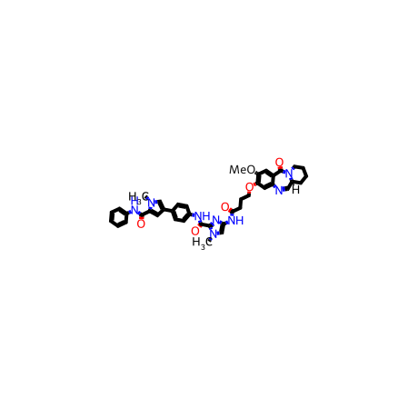 COc1cc2c(cc1OCCCC(=O)Nc1cn(C)c(C(=O)Nc3ccc(-c4cc(C(=O)Nc5ccccc5)n(C)c4)cc3)n1)N=C[C@@H]1CCCCN1C2=O